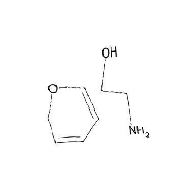 C1=CCOC=C1.NCCO